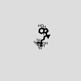 [2H]C([2H])([2H])C(O)(CCCC1(C2=CC[C@H]3[C@@H](O)CCC[C@@]23C)CC1)C([2H])([2H])[2H]